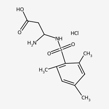 Cc1cc(C)c(S(=O)(=O)NC(N)CC(=O)O)c(C)c1.Cl